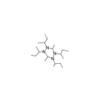 CCC(C)N1C(C)N(C(C)CC)N(C(C)CC)C(C)N1C(C)CC